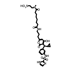 CN(CCS(=O)(=O)O)C(=O)CCCCCCC(=O)NCCCc1cc(O)c(C(c2cccc(NS(=O)(=O)c3ncc[nH]3)c2)C2CC2)c(=O)o1